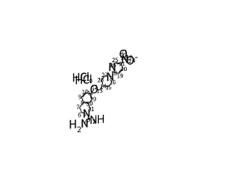 Cl.Cl.N=C(N)N1CCc2ccc(OCC3CCN(c4ccc([N+](=O)[O-])cn4)CC3)cc2C1